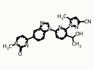 Cc1cc(C#N)nn1-c1nc(-n2cnc3cc(-c4ccn(C)c(=O)n4)ccc32)ccc1C(C)O